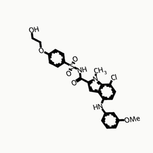 COc1cccc(Nc2ccc(Cl)c3c2cc(C(=O)NS(=O)(=O)c2ccc(OCCO)cc2)n3C)c1